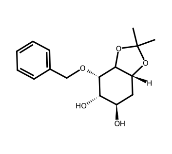 CC1(C)OC2[C@@H](OCc3ccccc3)[C@@H](O)[C@H](O)C[C@H]2O1